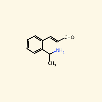 CC(N)c1ccccc1/C=C/[C]=O